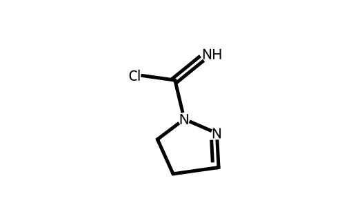 N=C(Cl)N1CCC=N1